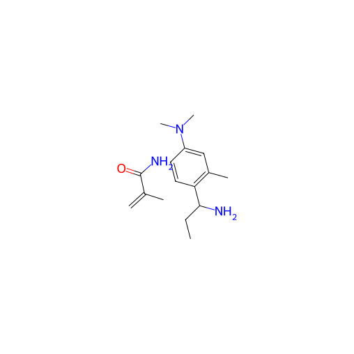 C=C(C)C(N)=O.CCC(N)c1ccc(N(C)C)cc1C